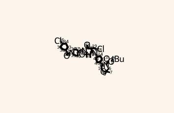 CC(C)(C)OC(=O)N1CC(C)(C)OC[C@H]1c1ccc(-n2c(Cl)cc3c(=O)n(CC4(O)CCN(C(=O)c5ccc(Cl)cc5)CC4)cnc32)cc1